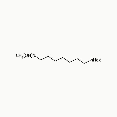 CCCCCCCCCCCCCN(C)O